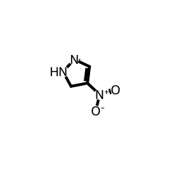 O=[N+]([O-])C1=C[N]NC1